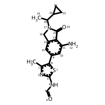 Cc1nc(NC=O)sc1-c1cc(N)c2c(c1)CN(C(C)C1CC1)C2=O